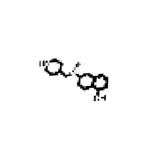 CCCN(CC1CCNCC1)C1CCc2c(O)cccc2C1